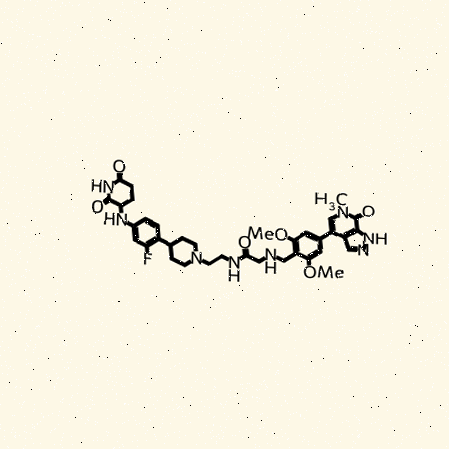 COc1cc(-c2cn(C)c(=O)c3[nH]ncc23)cc(OC)c1CNCC(=O)NCCN1CCC(c2ccc(NC3CCC(=O)NC3=O)cc2F)CC1